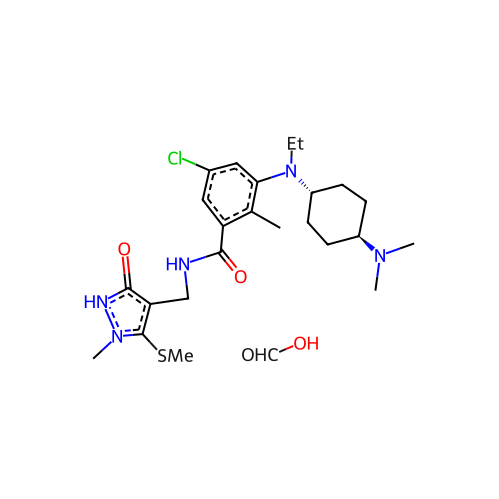 CCN(c1cc(Cl)cc(C(=O)NCc2c(SC)n(C)[nH]c2=O)c1C)[C@H]1CC[C@H](N(C)C)CC1.O=CO